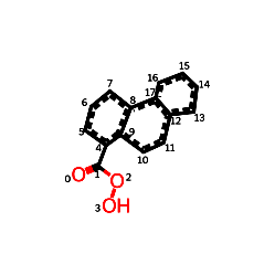 O=C(OO)c1cccc2c1ccc1ccccc12